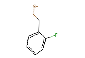 Fc1ccccc1CSS